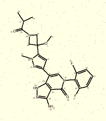 COC1(c2cc(-c3cn(-c4c(F)cccc4F)c(=O)c4c(N)n[nH]c34)nn2C)CN(C(=O)C(C)C)C1